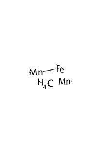 C.[Mn].[Mn][Fe]